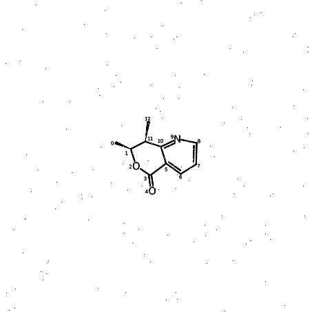 C[C@@H]1OC(=O)c2cccnc2[C@@H]1C